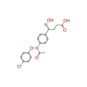 CC(=O)N(Oc1ccc(Cl)cc1)c1ccc(C(CCC(=O)O)=NO)cc1